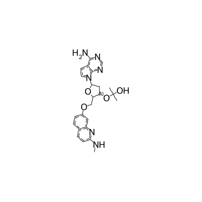 CNc1ccc2ccc(OCC3OC(n4ccc5c(N)ncnc54)C[C@@H]3OC(C)(C)O)cc2n1